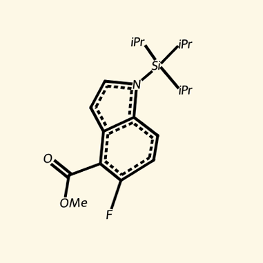 COC(=O)c1c(F)ccc2c1ccn2[Si](C(C)C)(C(C)C)C(C)C